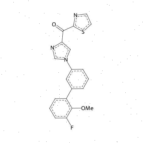 COc1c(F)cccc1-c1cccc(-n2cnc(C(=O)c3nccs3)c2)c1